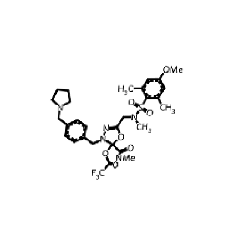 CNC(=O)C1(OC(=O)C(F)(F)F)OC(CN(C)S(=O)(=O)c2c(C)cc(OC)cc2C)=NN1Cc1ccc(CN2CCCC2)cc1